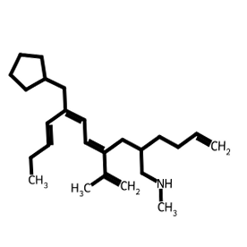 C=CCCC(CNC)C\C(=C/C=C(\C=C\CC)CC1CCCC1)C(=C)C